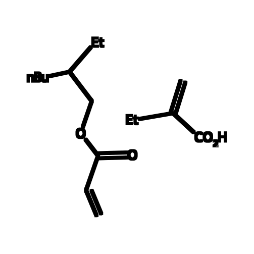 C=C(CC)C(=O)O.C=CC(=O)OCC(CC)CCCC